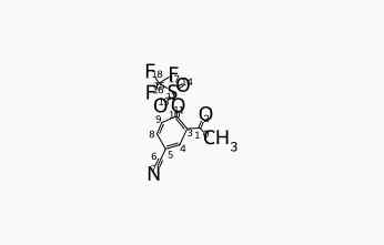 CC(=O)c1cc(C#N)ccc1OS(=O)(=O)C(F)(F)F